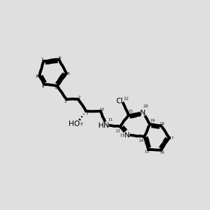 O[C@H](CCc1ccccc1)CNc1nc2ccccc2nc1Cl